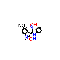 CN1C(=O)/C(=C2\Nc3ccccc3\C2=N/O)c2cc([N+](=O)[O-])ccc21